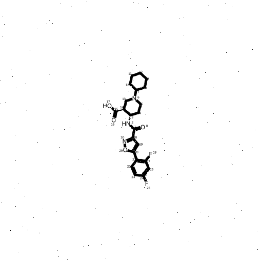 O=C(N[C@H]1CCN(C2CCCCC2)C[C@@H]1C(=O)O)c1cc(-c2ccc(F)cc2F)on1